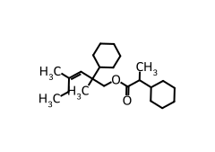 CCC(C)=CC(C)(COC(=O)C(C)C1CCCCC1)C1CCCCC1